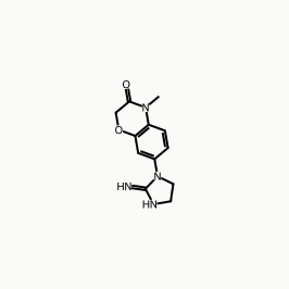 CN1C(=O)COc2cc(N3CCNC3=N)ccc21